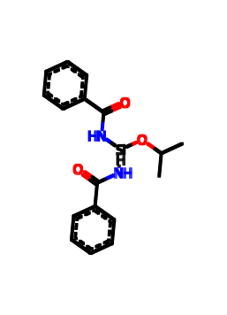 CC(C)O[SiH](NC(=O)c1ccccc1)NC(=O)c1ccccc1